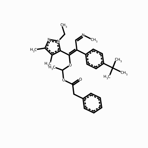 CCn1nc(C)c(C)c1/C(OC(C)OC(=O)Cc1ccccc1)=C(\C=N/C)c1ccc(C(C)(C)C)cc1